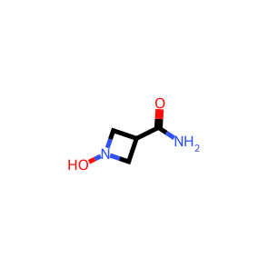 NC(=O)C1CN(O)C1